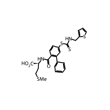 CSCC[C@H](NC(=O)c1ccc(SC(=S)NCc2cccs2)cc1-c1ccccc1)C(=O)O